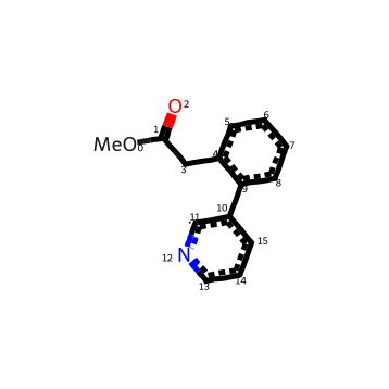 COC(=O)Cc1ccccc1-c1[c]nccc1